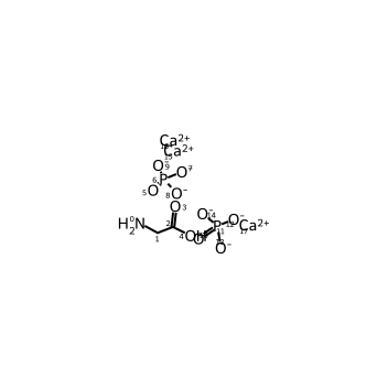 NCC(=O)O.O=P([O-])([O-])[O-].O=P([O-])([O-])[O-].[Ca+2].[Ca+2].[Ca+2]